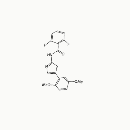 COc1ccc(OC)c(-c2cnc(NC(=O)c3c(F)cccc3F)s2)c1